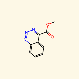 COC(=O)c1nnnc2ccccc12